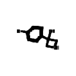 OC1(c2ccc(Br)cc2)CNC1